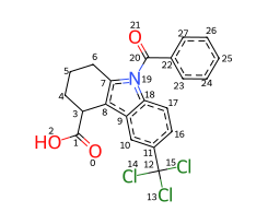 O=C(O)C1CCCc2c1c1cc(C(Cl)(Cl)Cl)ccc1n2C(=O)c1ccccc1